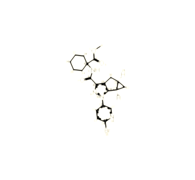 COC(=O)C1(NC(=O)c2nn(-c3ccc(Br)nc3)c3c2C[C@H]2C[C@@H]32)CCCCC1